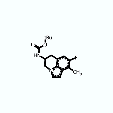 Cc1c(F)cc2c3c1ccn3CC(NC(=O)OC(C)(C)C)C2